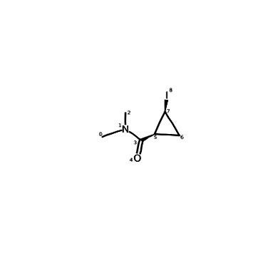 CN(C)C(=O)[C@@H]1C[C@@H]1I